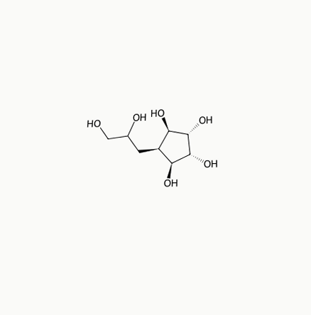 OCC(O)C[C@@H]1[C@H](O)[C@@H](O)[C@@H](O)[C@@H]1O